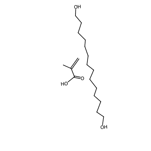 C=C(C)C(=O)O.OCCCCCCCCCCCCCCO